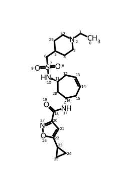 CCN1CCC(CS(=O)(=O)N[C@H]2CC=CC[C@H](NC(=O)c3cc(C4CC4)on3)C2)CC1